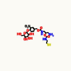 NCC(CNC(=O)OCc1ccc(O[C@@H]2OC(CO)[C@H](O)C(O)[C@@H]2O)c([N+](=O)[O-])c1)OC(=O)NCCS